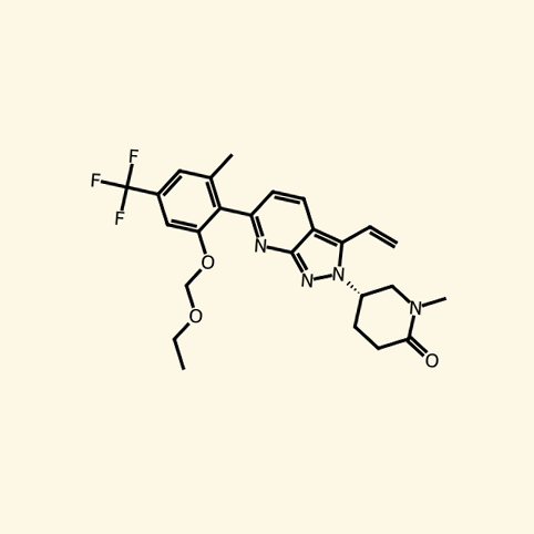 C=Cc1c2ccc(-c3c(C)cc(C(F)(F)F)cc3OCOCC)nc2nn1[C@H]1CCC(=O)N(C)C1